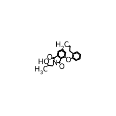 C=CCc1ccccc1Oc1cccc2c1C(=O)N(CC(C)O)C2=O